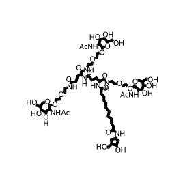 CC(=O)NC1C(OCCOCCNC(=O)CCC(NC(=O)CCC(NC(=O)CCCCCCCCCCC(=O)NC2CC(O)C(CO)C2)C(=O)NCCOCCOC2OCC(CO)C(O)C(O)C2NC(C)=O)C(=O)NCCOCCOC2OC(CO)C(O)C(O)C2NC(C)=O)OCC(CO)C(O)C1O